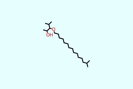 CC(C)CCCCCCCCCCCCCOC(C(C)C)C(C)O